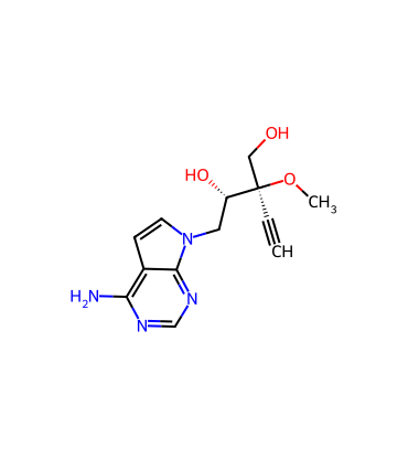 C#C[C@](CO)(OC)[C@@H](O)Cn1ccc2c(N)ncnc21